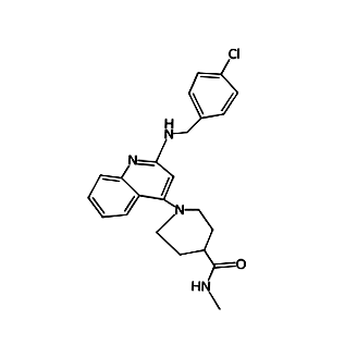 CNC(=O)C1CCN(c2cc(NCc3ccc(Cl)cc3)nc3ccccc23)CC1